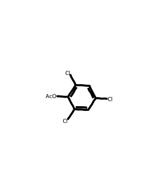 [CH2]C(=O)Oc1c(Cl)cc(Cl)cc1Cl